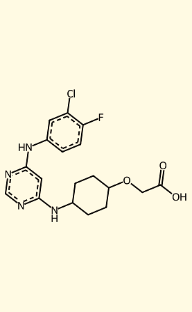 O=C(O)COC1CCC(Nc2cc(Nc3ccc(F)c(Cl)c3)ncn2)CC1